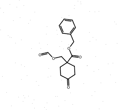 O=COCC1(C(=O)OCc2ccccc2)CCC(=O)CC1